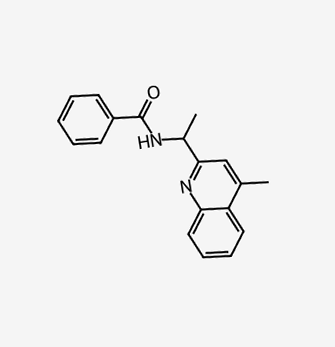 Cc1cc(C(C)NC(=O)c2ccccc2)nc2ccccc12